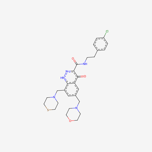 O=C(NCCc1ccc(Cl)cc1)c1n[nH]c2c(CN3CCSCC3)cc(CN3CCOCC3)cc2c1=O